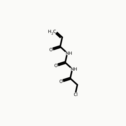 C=CC(=O)NC(=O)NC(=O)CCl